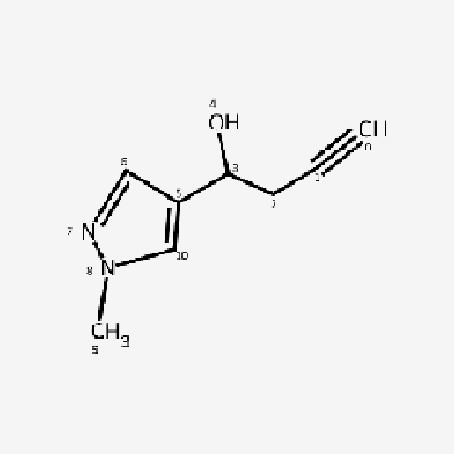 C#CCC(O)c1cnn(C)c1